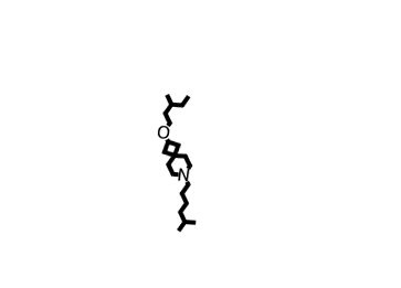 CCC(C)CCOC1CC2(CCN(CCCCC(C)C)CC2)C1